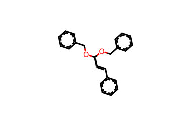 C(=C\C(OCc1ccccc1)OCc1ccccc1)/c1ccccc1